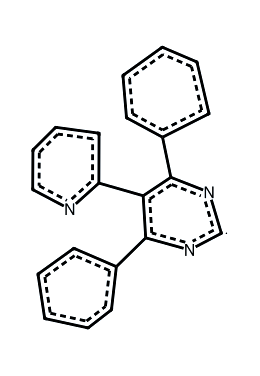 [c]1nc(-c2ccccc2)c(-c2ccccn2)c(-c2ccccc2)n1